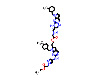 CCOC(=O)Cn1cc(Nc2ncc3cc(CCOC(=O)CN/C=C(\C=N)Nc4ncc5ccn(CC6CCCC(C)C6)c5n4)n(CC4CCC(C)CC4)c3n2)cn1